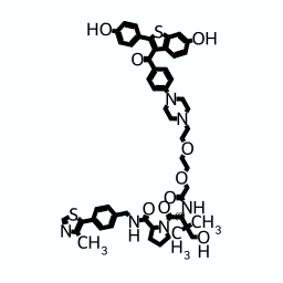 Cc1ncsc1-c1ccc(CNC(=O)C2CCCN2C(=O)[C@@H](NC(=O)COCCOCCN2CCN(c3ccc(C(=O)c4c(-c5ccc(O)cc5)sc5cc(O)ccc45)cc3)CC2)C(C)(C)CO)cc1